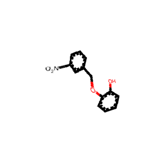 O=[N+]([O-])c1cccc(COc2ccccc2O)c1